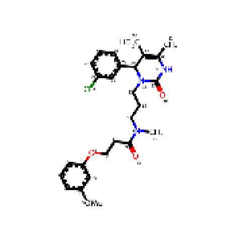 COc1cccc(OCCC(=O)N(C)CCCN2C(=O)NC(C)=C(C(=O)O)C2c2cccc(Cl)c2)c1